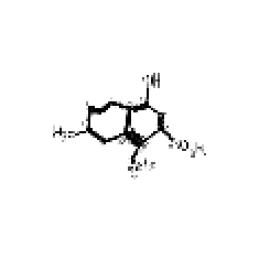 Cc1ccc2c(O)cc(S(=O)(=O)O)c(N)c2c1